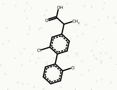 CC(C(=O)O)c1ccc(-c2ccccc2Cl)c(Cl)c1